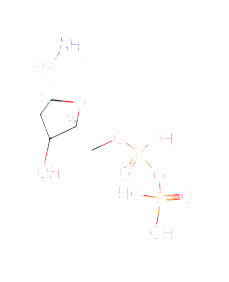 NP[C@H]1CC(O)[C@@H](COP(=O)(O)OP(=O)(O)O)O1